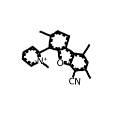 Cc1ccc2c(oc3c(C#N)c(C)cc(C)c32)c1-c1cccc[n+]1C